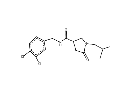 CC(C)CN1CC(C(=O)NCc2ccc(Cl)c(Cl)c2)CC1=O